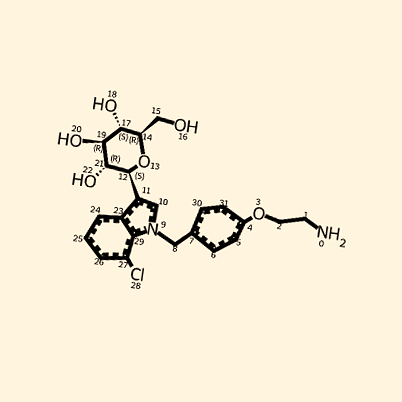 NCCOc1ccc(Cn2cc([C@@H]3O[C@H](CO)[C@@H](O)[C@H](O)[C@H]3O)c3cccc(Cl)c32)cc1